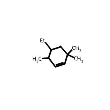 CCC1[CH]C(C)(C)C=CC1C